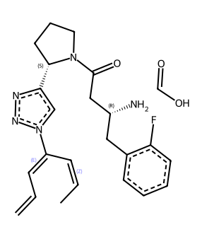 C=C/C=C(\C=C/C)n1cc([C@@H]2CCCN2C(=O)C[C@H](N)Cc2ccccc2F)nn1.O=CO